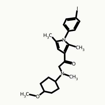 COC1CCC(N(C)CC(=O)c2cc(C)n(-c3ccc(I)cc3)c2C)CC1